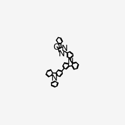 C1=CC2c3cc(-c4ccc5c(c4)c4ccccc4n5-c4cccc(-c5ncc6oc7c(c6n5)C=CCC7)c4)ccc3N(c3ccccc3)C2C=C1